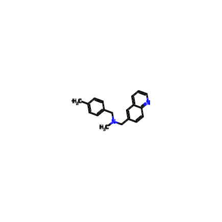 [CH2]c1ccc(CN(C)Cc2ccc3ncccc3c2)cc1